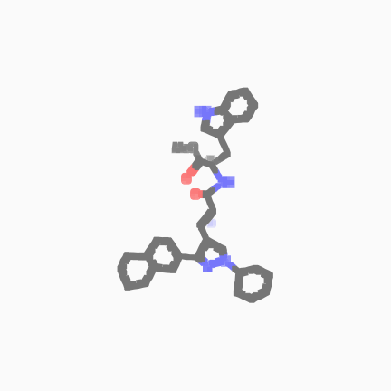 COC(=O)[C@@H](Cc1c[nH]c2ccccc12)NC(=O)/C=C/c1cn(-c2ccccc2)nc1-c1ccc2ccccc2c1